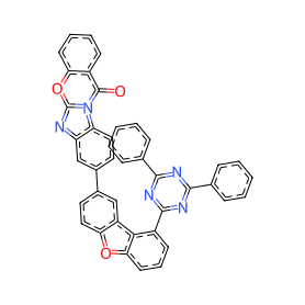 O=c1c2ccccc2oc2nc3cc(-c4ccc5oc6cccc(-c7nc(-c8ccccc8)nc(-c8ccccc8)n7)c6c5c4)ccc3n12